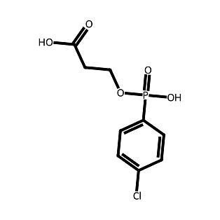 O=C(O)CCOP(=O)(O)c1ccc(Cl)cc1